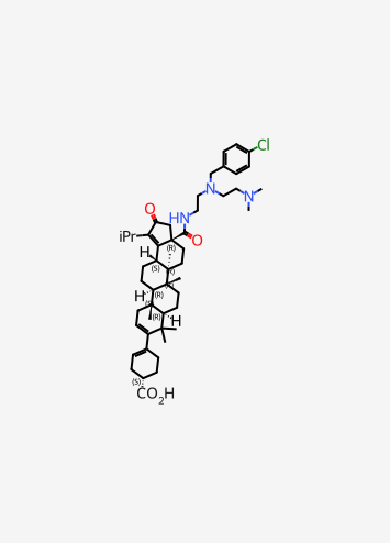 CC(C)C1=C2[C@H]3CC[C@@H]4[C@@]5(C)CC=C(C6=CC[C@@H](C(=O)O)CC6)C(C)(C)[C@@H]5CC[C@@]4(C)[C@]3(C)CC[C@@]2(C(=O)NCCN(CCN(C)C)Cc2ccc(Cl)cc2)CC1=O